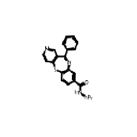 CCCNC(=O)c1ccc2c(c1)N=C(c1ccccc1)c1cnccc1S2